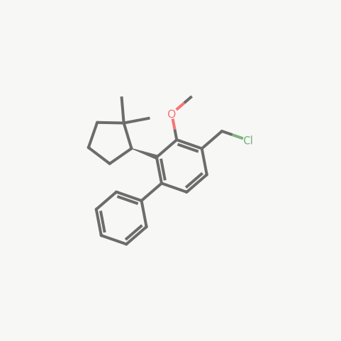 COc1c(CCl)ccc(-c2ccccc2)c1[C@H]1CCCC1(C)C